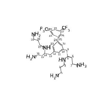 NCCCNC(CCN)Cc1cc(CC(CCN)NCCCN)cc(-c2cc(C(F)(F)F)cc(C(F)(F)F)c2)c1